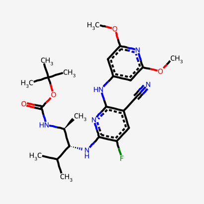 COc1cc(Nc2nc(N[C@H](C(C)C)[C@H](C)NC(=O)OC(C)(C)C)c(F)cc2C#N)cc(OC)n1